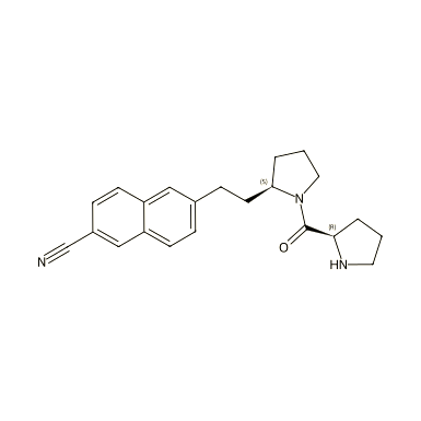 N#Cc1ccc2cc(CC[C@H]3CCCN3C(=O)[C@H]3CCCN3)ccc2c1